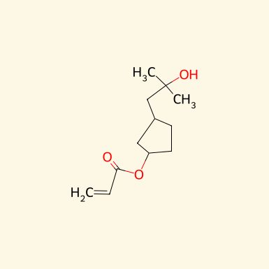 C=CC(=O)OC1CCC(CC(C)(C)O)C1